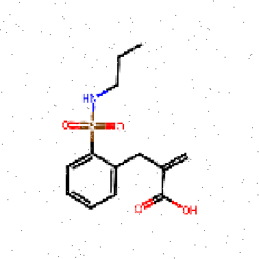 C=C(Cc1ccccc1S(=O)(=O)NCCC)C(=O)O